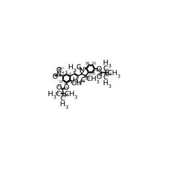 C[N+]1=C(/C=C/c2cc([N+](=O)[O-])cc(OC(=O)C(C)(C)C)c2O)C(C)(C)c2cc(OC(=O)C(C)(C)C)ccc21